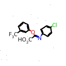 O=C(O)C(=Nc1ccc(Cl)cc1)Oc1cccc(C(F)(F)F)c1